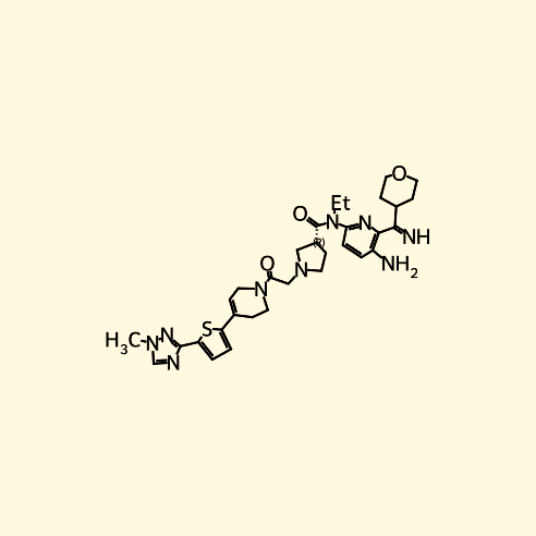 CCN(C(=O)[C@@H]1CCN(CC(=O)N2CC=C(c3ccc(-c4ncn(C)n4)s3)CC2)C1)c1ccc(N)c(C(=N)C2CCOCC2)n1